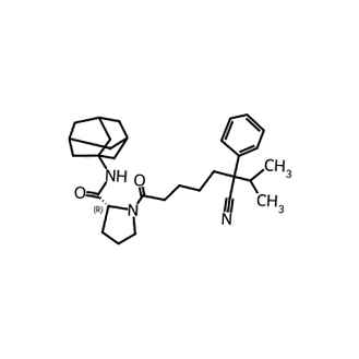 CC(C)C(C#N)(CCCCC(=O)N1CCC[C@@H]1C(=O)NC12CC3CC(CC(C3)C1)C2)c1ccccc1